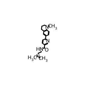 CN(C)CCNC(=O)c1ccc(-c2ccc3c(c2)CCCN3C)nc1